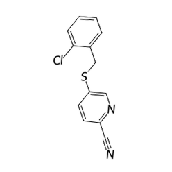 N#Cc1ccc(SCc2ccccc2Cl)cn1